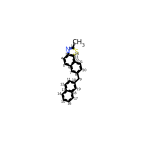 Cc1nc2ccc3cc(Cc4ccc5ccccc5c4)ccc3c2s1